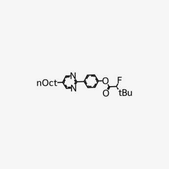 CCCCCCCCc1cnc(-c2ccc(OC(=O)[C@@H](F)C(C)(C)C)cc2)nc1